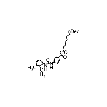 CCCCCCCCCCCCCCCCC(=O)OC(=O)c1ccc(NC(=O)Nc2cccc(C)c2C)cc1